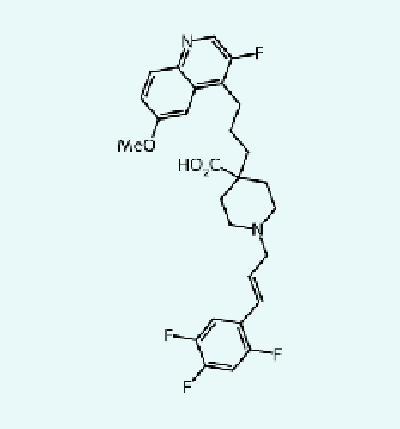 COc1ccc2ncc(F)c(CCCC3(C(=O)O)CCN(CC=Cc4cc(F)c(F)cc4F)CC3)c2c1